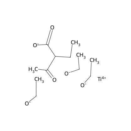 CCC(C(C)=O)C(=O)[O-].CC[O-].CC[O-].CC[O-].[Ti+4]